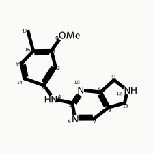 COc1cc(Nc2ncc3c(n2)CNC3)ccc1C